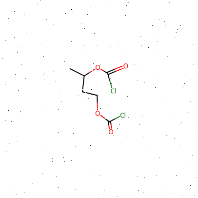 CC(CCOC(=O)Cl)OC(=O)Cl